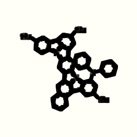 CC(C)(C)c1ccc2c(c1)c1cc(C(C)(C)C)cc3c4nc5c(cc4n2c13)c1cc2ccccc2c2c3cc(C(C)(C)C)cc(N(c4ccccc4)c4ccccc4)c3n5c12